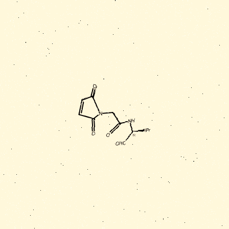 CC(C)[C@@H]([C]=O)NC(=O)CN1C(=O)C=CC1=O